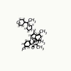 Cc1cncc2c1c(C[C@@H]1CCN([C@@H](C)C3CCOCC3)C1)cn2-c1ccc(F)cc1S(=N)(=O)C(C)C